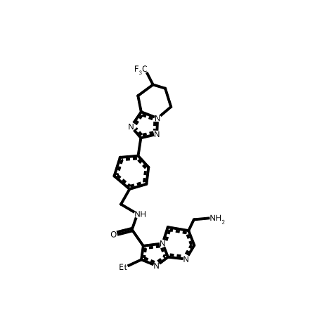 CCc1nc2ncc(CN)cn2c1C(=O)NCc1ccc(-c2nc3n(n2)CCC(C(F)(F)F)C3)cc1